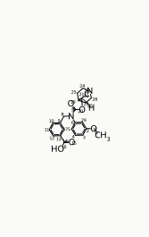 COc1cccc(N(Cc2cccc(C(=O)O)c2)C(=O)O[C@H]2CN3CCC2CC3)c1